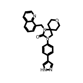 O=C1N(c2ccc(-c3cn[nH]c3)cc2)CC2(CCOCC2)N1Cc1cccc2cccnc12